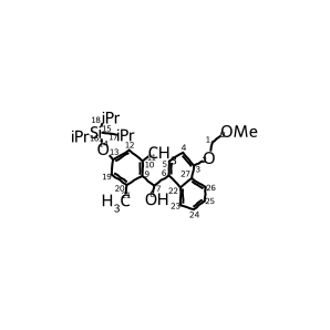 COCOc1ccc(C(O)c2c(C)cc(O[Si](C(C)C)(C(C)C)C(C)C)cc2C)c2ccccc12